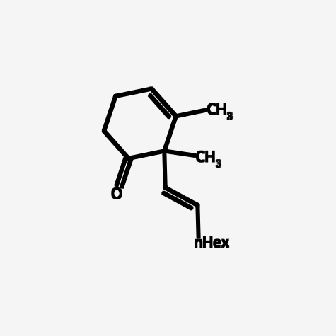 CCCCCCC=CC1(C)C(=O)CCC=C1C